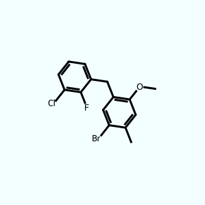 COc1cc(C)c(Br)cc1Cc1cccc(Cl)c1F